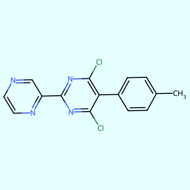 Cc1ccc(-c2c(Cl)nc(-c3cnccn3)nc2Cl)cc1